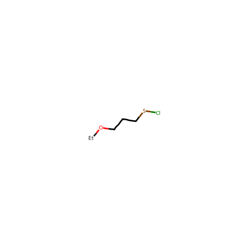 CCOCCCSCl